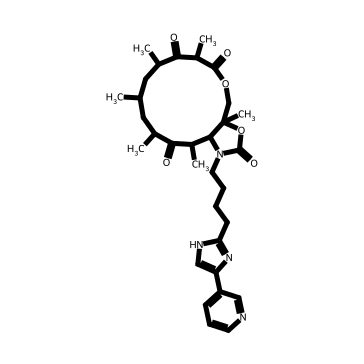 CC1CC(C)C(=O)C(C)C(=O)OCC2(C)OC(=O)N(CCCCc3nc(-c4cccnc4)c[nH]3)C2C(C)C(=O)C(C)C1